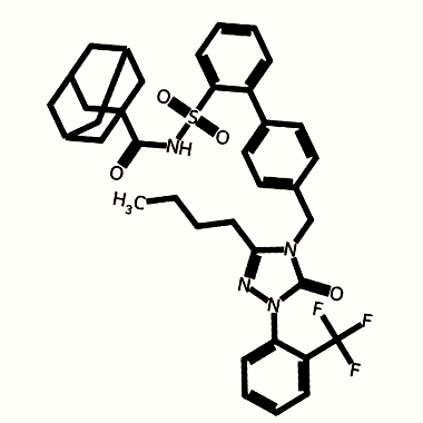 CCCCc1nn(-c2ccccc2C(F)(F)F)c(=O)n1Cc1ccc(-c2ccccc2S(=O)(=O)NC(=O)C23CC4CC(CC(C4)C2)C3)cc1